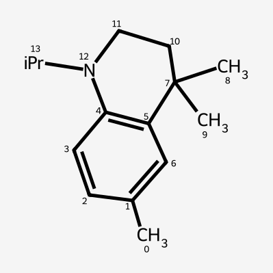 Cc1ccc2c(c1)C(C)(C)CCN2C(C)C